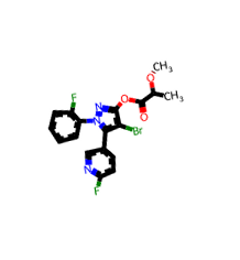 COC(C)C(=O)Oc1nn(-c2ccccc2F)c(-c2ccc(F)nc2)c1Br